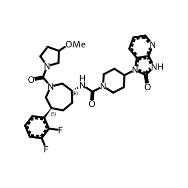 COC1CCN(C(=O)N2C[C@H](NC(=O)N3CCC(n4c(=O)[nH]c5ncccc54)CC3)CC[C@@H](c3cccc(F)c3F)C2)C1